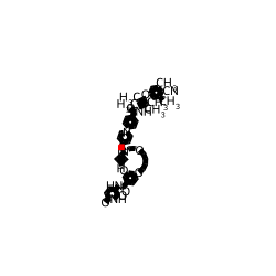 Cc1cc(O[C@H]2C(C)(C)[C@H](NC(=O)c3ccc(N4CCC(CN5CCOCCCCOc6ccc(C(=O)NC7CCC(=O)NC7=O)cc6O[C@H]6C[C@H]5C6)CC4)cc3)C2(C)C)cc(C)c1C#N